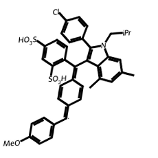 COc1ccc([C]=c2ccc(=C(c3ccc(S(=O)(=O)O)cc3S(=O)(=O)O)c3c(-c4ccc(Cl)cc4)n(CC(C)C)c4cc(C)cc(C)c34)cc2)cc1